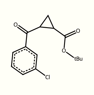 CC(C)(C)OC(=O)C1CC1C(=O)c1cccc(Cl)c1